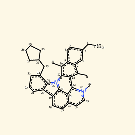 Cc1c2cc(CC(C)(C)C)ccc2c(C)c2c1c1c3c(ccc4c5cccc(CC6CCCC6)c5n2c43)cc[n+]1C